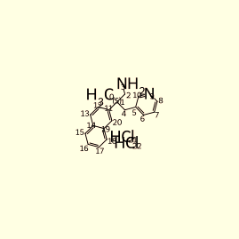 C[C@](CN)(Cc1cccnc1)c1ccc2ccccc2c1.Cl.Cl